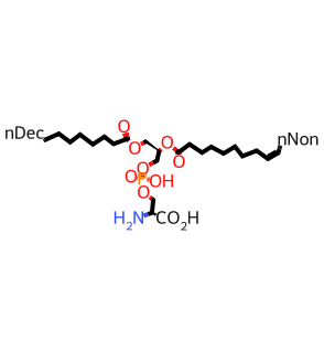 CCCCCCCCC/C=C\CCCCCCCC(=O)O[C@H](COC(=O)CCCCCCCCCCCCCCCCC)COP(=O)(O)OC[C@H](N)C(=O)O